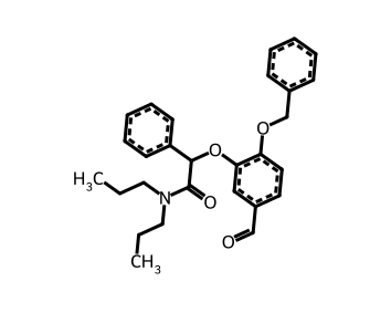 CCCN(CCC)C(=O)C(Oc1cc(C=O)ccc1OCc1ccccc1)c1ccccc1